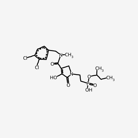 CCC(C)OP(=O)(O)CCN1CC(C(=O)N(C)Cc2ccc(Cl)c(Cl)c2)=C(O)C1=O